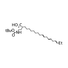 CCC=CCC=CCC=CCCCCCCCCC(CCNC(=O)OC(C)(C)C)C(=O)O